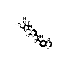 CN1CCOc2ccc(C(=O)Nc3ccn(C4O[C@H](CO)[C@@H](O)C4(F)I)c(=O)n3)cc21